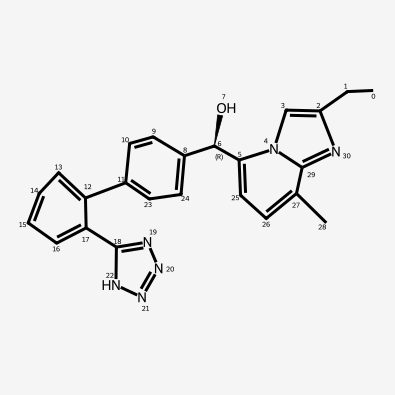 CCc1cn2c([C@H](O)c3ccc(-c4ccccc4-c4nnn[nH]4)cc3)ccc(C)c2n1